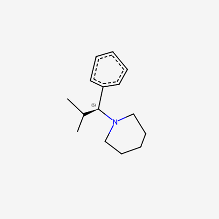 CC(C)[C@@H](c1ccccc1)N1CCCCC1